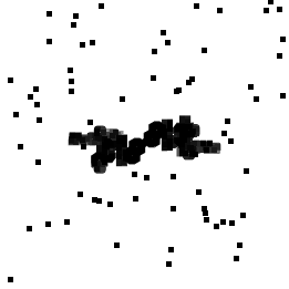 COC(=O)N[C@H](C(=O)N1C[C@]2(CCCOC2)C[C@H]1c1nc2ccc3cc(-c4ccc5c(ccc6nc([C@@H]7C[C@@H]8COC[C@@H]8N7C(=O)[C@@H](NC(=O)OC)C(C)C)[nH]c65)c4)ccc3c2[nH]1)C(C)C